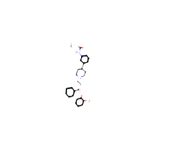 CCOc1ccccc1O[C@@H](CCN1CCC(c2cccc(NC(=O)C(C)C)c2)CC1)c1ccccc1